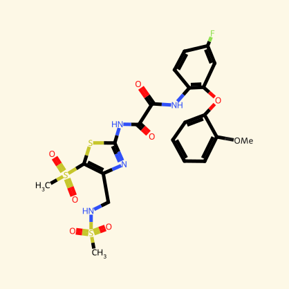 COc1ccccc1Oc1cc(F)ccc1NC(=O)C(=O)Nc1nc(CNS(C)(=O)=O)c(S(C)(=O)=O)s1